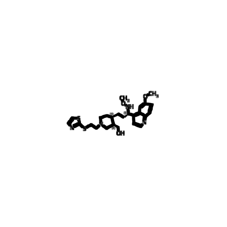 CON[C@@H](CC[C@@H]1CCN(CCSc2nccs2)C[C@@H]1CO)c1ccnc2ccc(OC)cc12